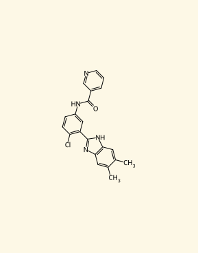 Cc1cc2nc(-c3cc(NC(=O)c4cccnc4)ccc3Cl)[nH]c2cc1C